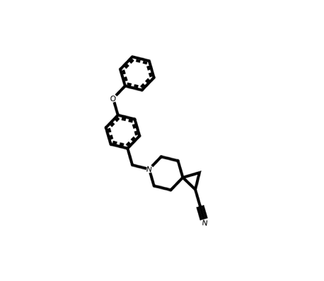 N#CC1CC12CCN(Cc1ccc(Oc3ccccc3)cc1)CC2